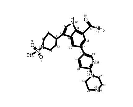 CCS(=O)(=O)N1CCC(c2c[nH]c3c(C(N)=O)cc(-c4ccc(N5CCNCC5)nc4)cc23)CC1